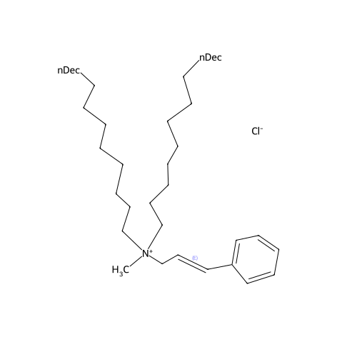 CCCCCCCCCCCCCCCCCC[N+](C)(C/C=C/c1ccccc1)CCCCCCCCCCCCCCCCCC.[Cl-]